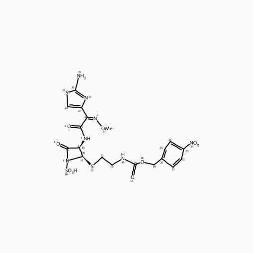 CON=C(C(=O)N[C@@H]1C(=O)N(S(=O)(=O)O)[C@@H]1SCCNC(=O)OCc1ccc([N+](=O)[O-])cc1)c1csc(N)n1